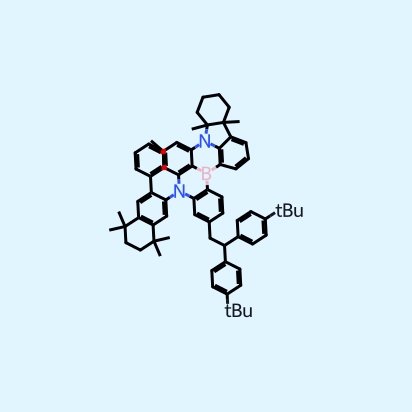 Cc1cc2c3c(c1)N1c4c(cccc4C4(C)CCCCC14C)B3c1ccc(CC(c3ccc(C(C)(C)C)cc3)c3ccc(C(C)(C)C)cc3)cc1N2c1cc2c(cc1-c1ccccc1)C(C)(C)CCC2(C)C